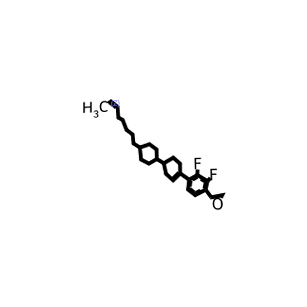 C/C=C\CCCCCC1CCC(C2CC=C(c3ccc(C4CO4)c(F)c3F)CC2)CC1